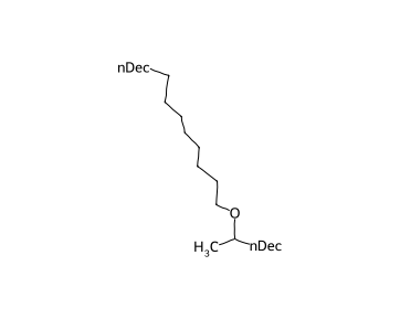 CCCCCCCCCCCCCCCCCCOC(C)CCCCCCCCCC